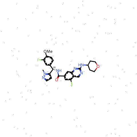 COc1ccc([C@H](NC(=O)c2cc(F)c3cnc(NC4CCOCC4)nc3c2)c2ccnn2C)cc1F